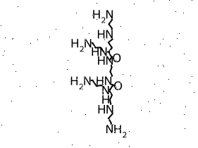 NCCCNCCCC(NCCCN)C(=O)NCCCNC(=O)C(CCCNCCCN)NCCCN